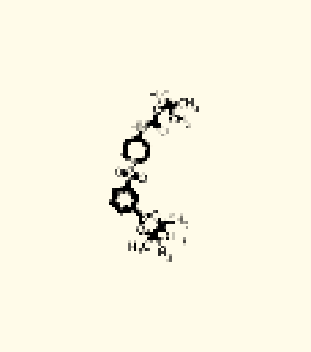 CC(C)(C)OC(=O)NC1CCN(S(=O)(=O)c2cccc(B3OC(C)(C)C(C)(C)O3)c2)CC1